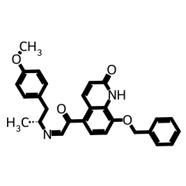 COc1ccc(C[C@@H](C)/N=C\C(=O)c2ccc(OCc3ccccc3)c3[nH]c(=O)ccc23)cc1